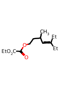 CCOC(=O)C(=O)OCCC(C)C=C(CC)CC